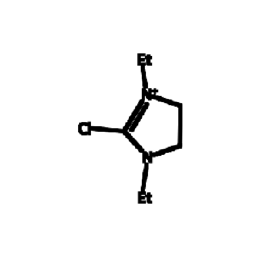 CCN1CC[N+](CC)=C1Cl